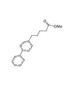 COC(=O)CCCCc1ccc(-c2ccccc2)cc1